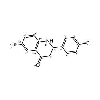 O=C1CC(c2ccc(Cl)cc2)Nc2ccc(Cl)cc21